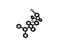 N#Cc1ccc2c(c1)C1(c3ccccc3Sc3c(-c4c5ccccc5c(-c5cc(-c6ccccc6)cc(-c6ccccc6)c5)c5ccccc45)cccc31)c1ccccc1-2